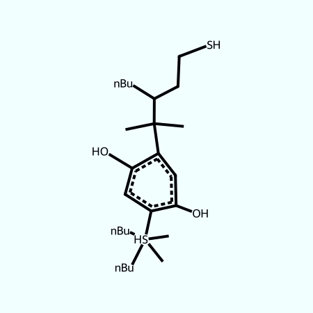 CCCCC(CCS)C(C)(C)c1cc(O)c([SH](C)(C)(CCCC)CCCC)cc1O